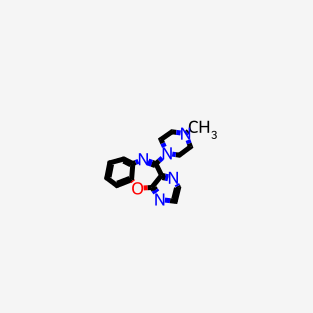 CN1CCN(C2=Nc3ccccc3Oc3nccnc32)CC1